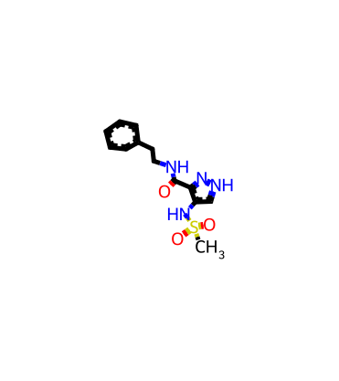 CS(=O)(=O)Nc1c[nH]nc1C(=O)NCCc1ccccc1